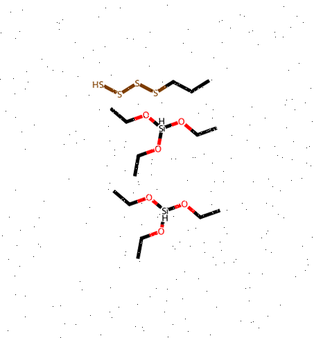 CCCSSSS.CCO[SiH](OCC)OCC.CCO[SiH](OCC)OCC